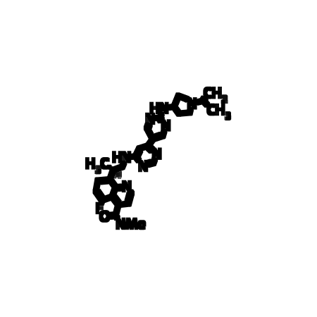 C=C(C)N1CCC(Nc2ncc(-c3cc(NC[C@@H](C)c4ccc(F)c5c(C(=O)NC)ccnc45)ncn3)cn2)CC1